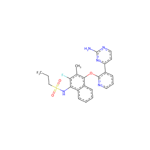 Cc1c(F)c(NS(=O)(=O)CCC(F)(F)F)c2ccccc2c1Oc1ncccc1-c1ccnc(N)n1